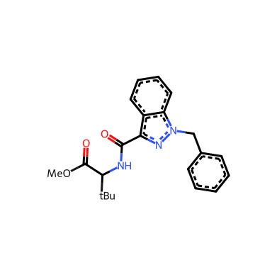 COC(=O)C(NC(=O)c1nn(Cc2ccccc2)c2ccccc12)C(C)(C)C